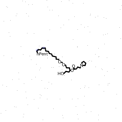 CCCCC/C=C\C/C=C\CCCCCCCCOCOCCCC(CCCO)OC(=O)CCCN1CCCC1